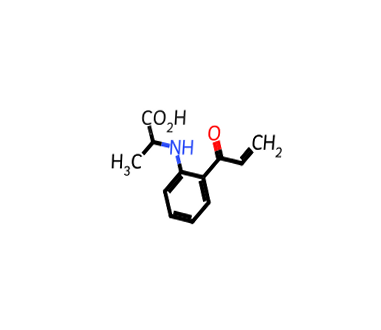 C=CC(=O)c1ccccc1NC(C)C(=O)O